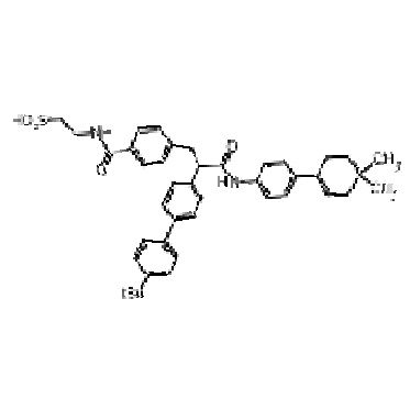 CC1(C)CC=C(c2ccc(NC(=O)[C@H](Cc3ccc(C(=O)NCCS(=O)(=O)O)cc3)c3ccc(-c4ccc(C(C)(C)C)cc4)cc3)cc2)CC1